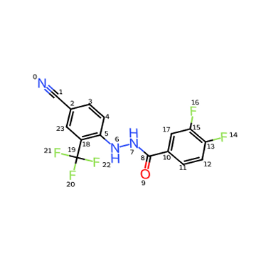 N#Cc1ccc(NNC(=O)c2ccc(F)c(F)c2)c(C(F)(F)F)c1